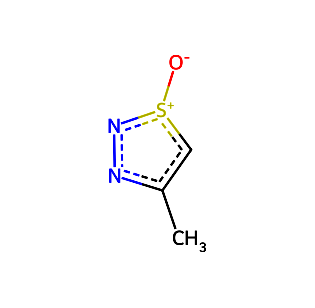 Cc1c[s+]([O-])nn1